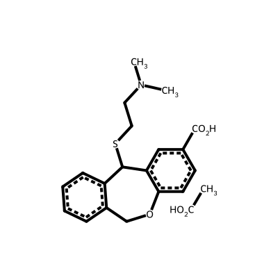 CC(=O)O.CN(C)CCSC1c2ccccc2COc2ccc(C(=O)O)cc21